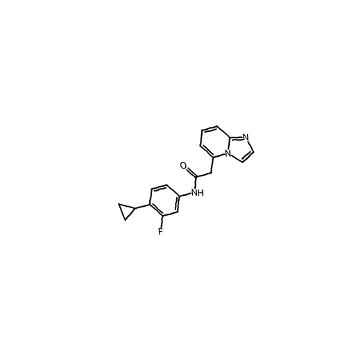 O=C(Cc1cccc2nccn12)Nc1ccc(C2CC2)c(F)c1